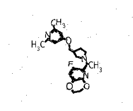 Cc1cc(OCC2CCN(C(C)c3nc4c(cc3F)OCCO4)C2)cc(C)n1